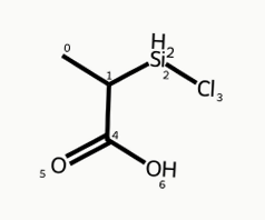 CC([SiH2]Cl)C(=O)O